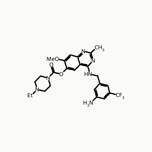 CCN1CCN(C(=O)Oc2cc3c(NCc4cc(N)cc(C(F)(F)F)c4)nc(C)nc3cc2OC)CC1